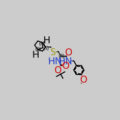 COc1ccc(CNC(=O)[C@H](CSC[C@H]2C[C@H]3CC[C@@H]2C3)NC(=O)OC(C)(C)C)cc1